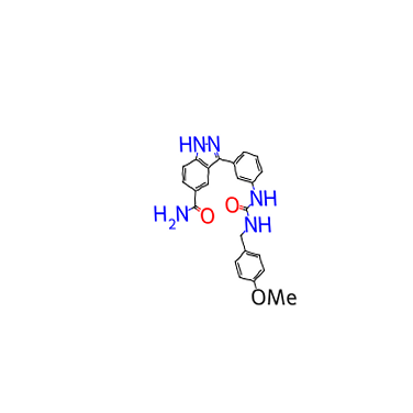 COc1ccc(CNC(=O)Nc2cccc(-c3n[nH]c4ccc(C(N)=O)cc34)c2)cc1